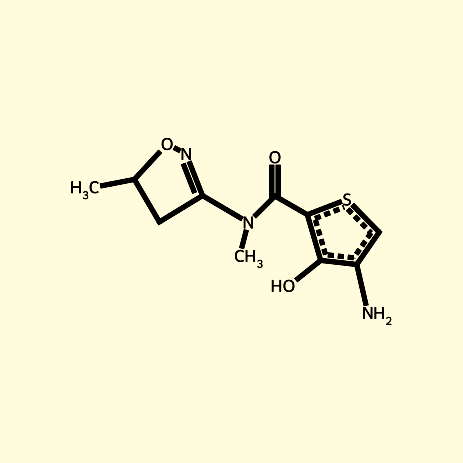 CC1CC(N(C)C(=O)c2scc(N)c2O)=NO1